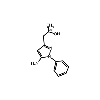 C[C@@H](O)Cc1cc(N)n(-c2ccccc2)n1